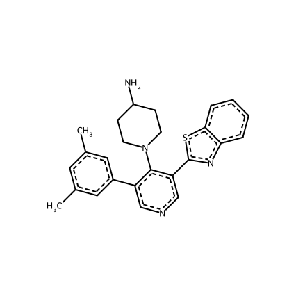 Cc1cc(C)cc(-c2cncc(-c3nc4ccccc4s3)c2N2CCC(N)CC2)c1